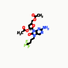 CC(=O)OC[C@@H]1C[C@@H](OC(C)=O)[C@H](n2c(=O)n(CCCC(F)(F)F)c3cnc(N)nc32)O1